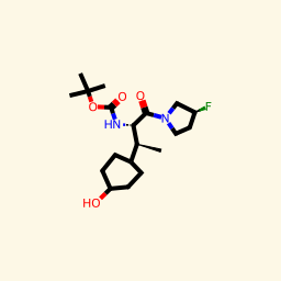 C[C@@H](C1CCC(O)CC1)[C@H](NC(=O)OC(C)(C)C)C(=O)N1CC[C@H](F)C1